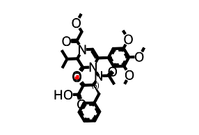 COCC(=O)N1C=C(c2cc(OC)c(OC)c(OC)c2)N(N(C(C)=O)[C@@H](Cc2ccccc2)C(=O)C(=O)O)C(=O)C1C(C)C